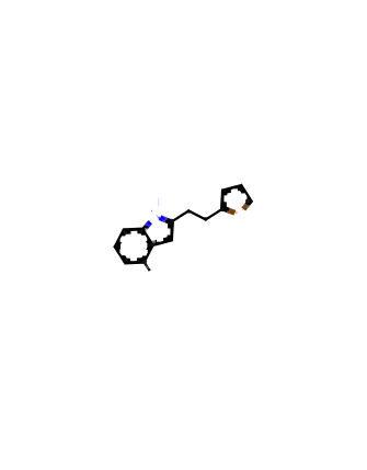 O=Cc1cccc2[nH]c(CCc3cccs3)cc12